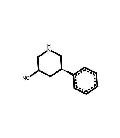 N#CC1CNC[C@@H](c2ccccc2)C1